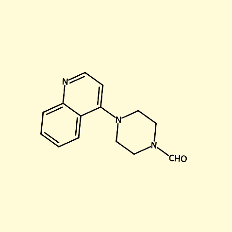 O=CN1CCN(c2ccnc3ccccc23)CC1